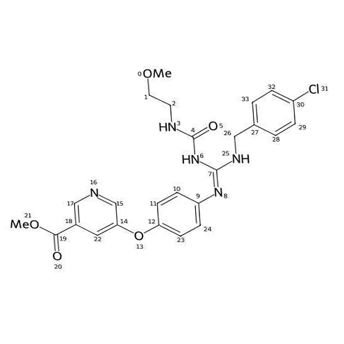 COCCNC(=O)N/C(=N\c1ccc(Oc2cncc(C(=O)OC)c2)cc1)NCc1ccc(Cl)cc1